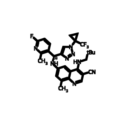 Cc1nc(F)ccc1[C@H](Nc1cc(C)c2ncc(C#N)c(NCC(C)(C)C)c2c1)c1cn(C2(C(F)(F)F)CC2)nn1